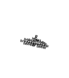 BrC(Br)(Br)C(Br)(Br)C(Br)(Br)C(Br)(Br)C(Br)(Br)C(Br)(Br)C(Br)(Br)C(Br)(Br)C(Br)(Br)C(Br)(Br)Br.O=[SH](=O)O